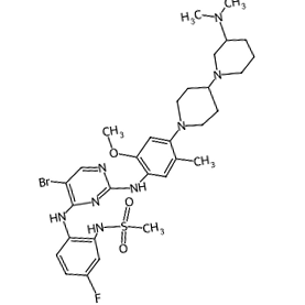 COc1cc(N2CCC(N3CCCC(N(C)C)C3)CC2)c(C)cc1Nc1ncc(Br)c(Nc2ccc(F)cc2NS(C)(=O)=O)n1